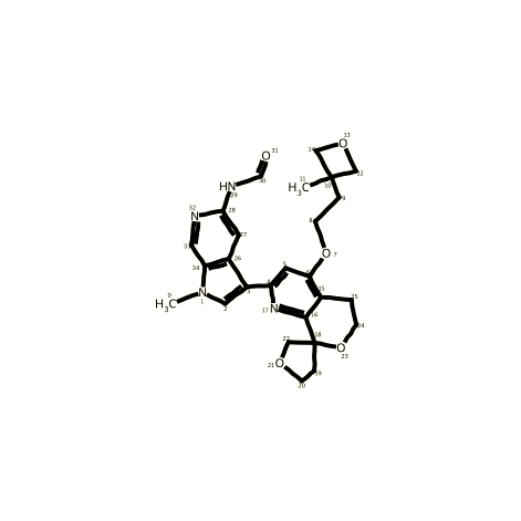 Cn1cc(-c2cc(OCCC3(C)COC3)c3c(n2)C2(CCOC2)OCC3)c2cc(NC=O)ncc21